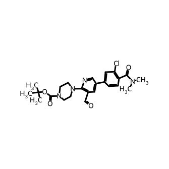 CN(C)C(=O)c1ccc(-c2cnc(N3CCN(C(=O)OC(C)(C)C)CC3)c(C=O)c2)cc1Cl